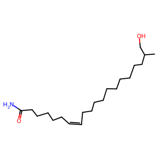 CC(CO)CCCCCCCCCC/C=C\CCCCCC(N)=O